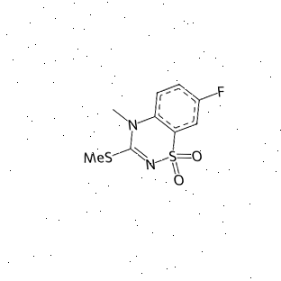 CSC1=NS(=O)(=O)c2cc(F)ccc2N1C